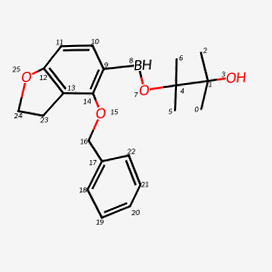 CC(C)(O)C(C)(C)OBc1ccc2c(c1OCc1ccccc1)CCO2